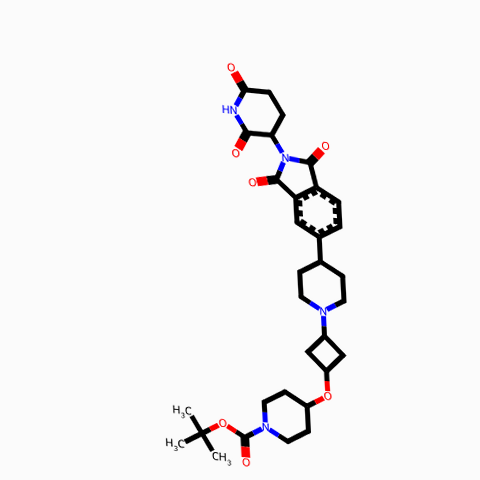 CC(C)(C)OC(=O)N1CCC(OC2CC(N3CCC(c4ccc5c(c4)C(=O)N(C4CCC(=O)NC4=O)C5=O)CC3)C2)CC1